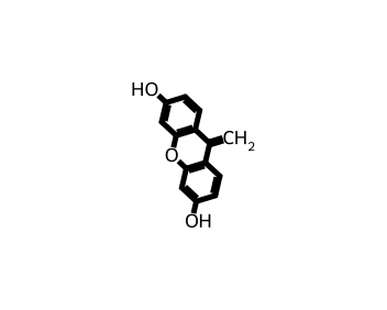 C=C1c2ccc(O)cc2Oc2cc(O)ccc21